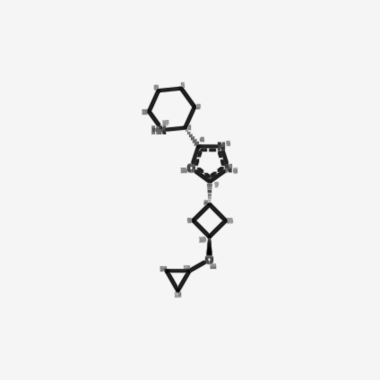 C1CC[C@H](c2nnc([C@H]3C[C@H](OC4CC4)C3)o2)NC1